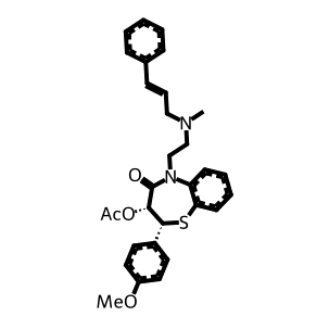 COc1ccc([C@H]2Sc3ccccc3N(CCN(C)CC=Cc3ccccc3)C(=O)[C@H]2OC(C)=O)cc1